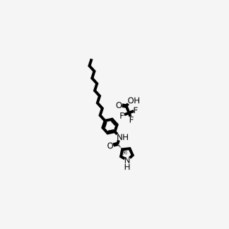 CCCCCCCCCCc1ccc(NC(=O)[C@@H]2CCNC2)cc1.O=C(O)C(F)(F)F